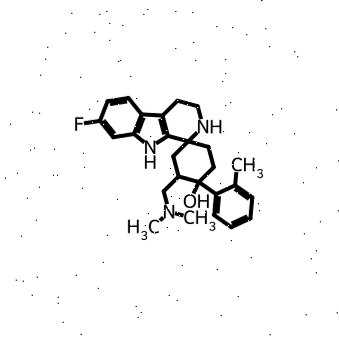 Cc1ccccc1C1(O)CCC2(CC1CN(C)C)NCCc1c2[nH]c2cc(F)ccc12